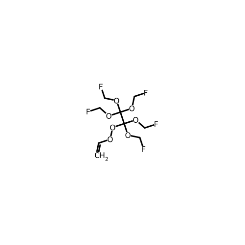 C=COOC(OCF)(OCF)C(OCF)(OCF)OCF